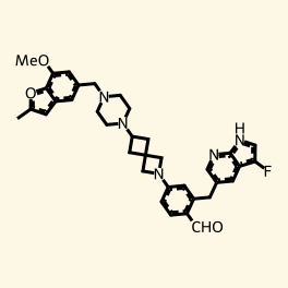 COc1cc(CN2CCN(C3CC4(C3)CN(c3ccc(C=O)c(Cc5cnc6[nH]cc(F)c6c5)c3)C4)CC2)cc2cc(C)oc12